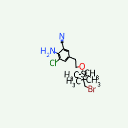 CC(C)(CBr)[Si](C)(C)OCCc1cc(Cl)c(N)c(C#N)c1